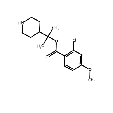 COc1ccc(C(=O)OC(C)(C)C2CCNCC2)c(Cl)c1